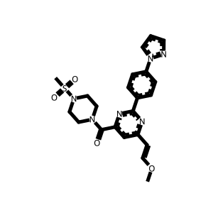 CO/C=C/c1cc(C(=O)N2CCN(S(C)(=O)=O)CC2)nc(-c2ccc(-n3cccn3)cc2)n1